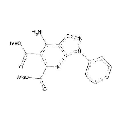 COC(=O)c1nc2c(cnn2-c2ccccc2)c(N)c1C(=O)OC